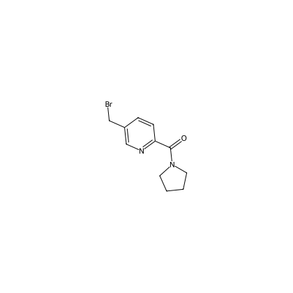 O=C(c1ccc(CBr)cn1)N1CCCC1